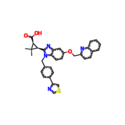 CC1(C)[C@H](c2nc3cc(OCc4ccc5ccccc5n4)ccc3n2Cc2ccc(-c3cscn3)cc2)[C@@H]1C(=O)O